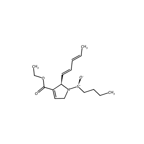 C/C=C/C=C/[C@@H]1C(C(=O)OCC)=CCN1[S@@+]([O-])CCCC